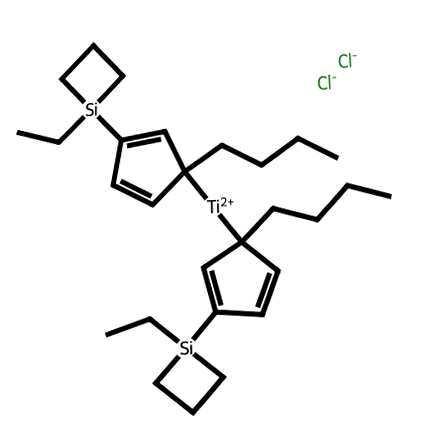 CCCC[C]1([Ti+2][C]2(CCCC)C=CC([Si]3(CC)CCC3)=C2)C=CC([Si]2(CC)CCC2)=C1.[Cl-].[Cl-]